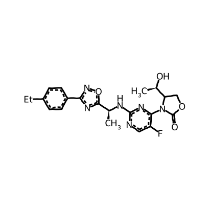 CCc1ccc(-c2noc([C@H](C)Nc3ncc(F)c(N4C(=O)OCC4[C@@H](C)O)n3)n2)cc1